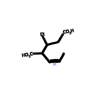 C/C=C\C(C(=O)O)C(CC)CC(=O)O